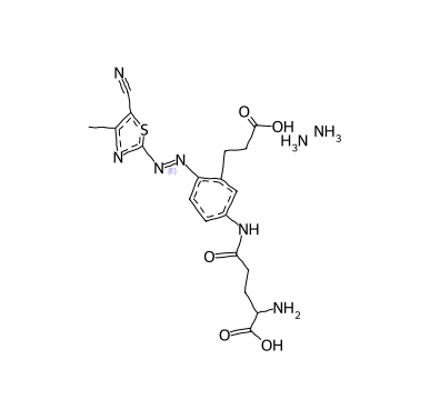 Cc1nc(/N=N/c2ccc(NC(=O)CCC(N)C(=O)O)cc2CCC(=O)O)sc1C#N.N.N